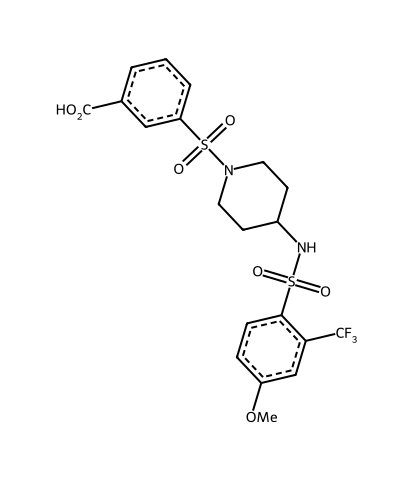 COc1ccc(S(=O)(=O)NC2CCN(S(=O)(=O)c3cccc(C(=O)O)c3)CC2)c(C(F)(F)F)c1